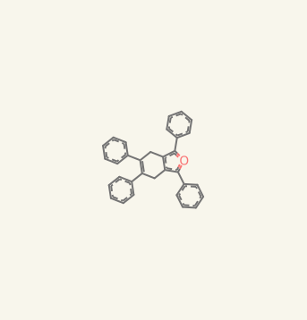 c1ccc(C2=C(c3ccccc3)Cc3c(-c4ccccc4)oc(-c4ccccc4)c3C2)cc1